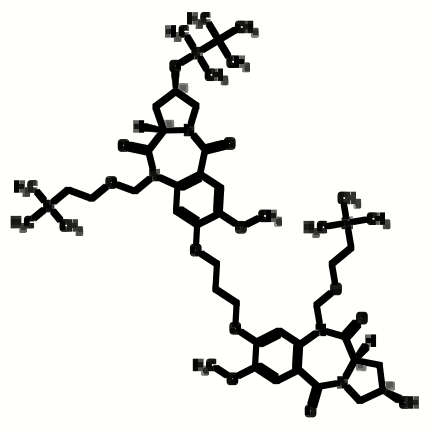 COc1cc2c(cc1OCCCOc1cc3c(cc1OC)C(=O)N1C[C@H](O[Si](C)(C)C(C)(C)C)C[C@H]1C(=O)N3COCC[Si](C)(C)C)N(COCC[Si](C)(C)C)C(=O)[C@@H]1C[C@@H](O)CN1C2=O